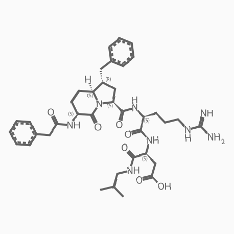 CC(C)CNC(=O)[C@H](CC(=O)O)NC(=O)[C@H](CCCNC(=N)N)NC(=O)[C@@H]1C[C@@H](Cc2ccccc2)[C@@H]2CC[C@H](NC(=O)Cc3ccccc3)C(=O)N12